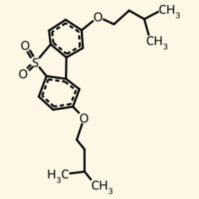 CC(C)CCOc1ccc2c(c1)-c1cc(OCCC(C)C)ccc1S2(=O)=O